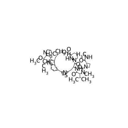 CCn1c(-c2cccnc2[C@H](C)OC)c2c3cc(ccc31)-c1csc(n1)C[C@H](NC(=O)C(C(C)C)N(C)C(=O)N1CC[C@@H]1C(=O)NC)C(=O)N1CCC[C@H](N1)C(=O)OCC(C)(C)C2